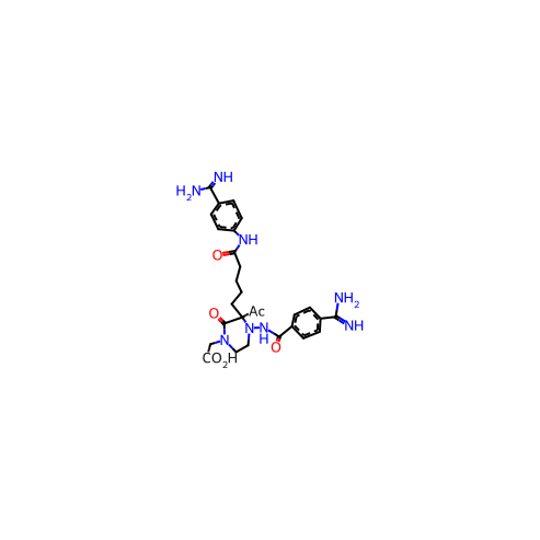 CC(=O)C1(CCCCC(=O)Nc2ccc(C(=N)N)cc2)C(=O)N(CC(=O)O)CCN1NC(=O)c1ccc(C(=N)N)cc1